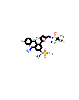 C[C@H](c1ccc(F)cc1)c1c(C(N)=O)cc(N(C)S(C)(=O)=O)cc1-c1ccc(C=N[S+]([O-])C(C)(C)C)o1